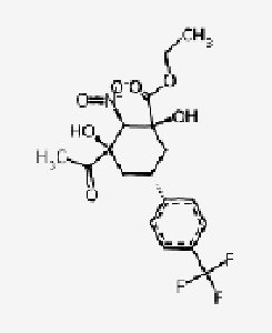 CCOC(=O)[C@]1(O)C[C@H](c2ccc(C(F)(F)F)cc2)C[C@](O)(C(C)=O)[C@H]1[N+](=O)[O-]